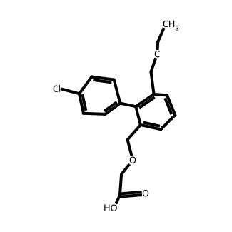 CCCCc1cccc(COCC(=O)O)c1-c1ccc(Cl)cc1